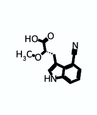 CO[C@@H](Cc1c[nH]c2cccc(C#N)c12)C(=O)O